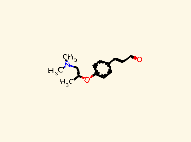 CC(CN(C)C)Oc1ccc(C=CC=O)cc1